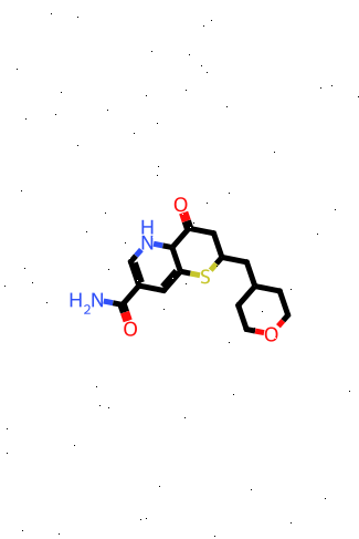 NC(=O)C1=CNC2C(=O)CC(CC3CCOCC3)SC2=C1